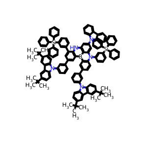 CC(C)(C)c1ccc2c(c1)c1cc(C(C)(C)C)ccc1n2-c1cccc(-c2ccc3c(c2)B2c4cc(-c5cccc(-n6c7ccc(C(C)(C)C)cc7c7cc(C(C)(C)C)ccc76)c5)cc(-c5cccc([Si](c6ccccc6)(c6ccccc6)c6ccccc6)c5)c4Nc4cc(-n5c6ccccc6c6ccccc65)cc(c42)N3c2cccc([Si](c3ccccc3)(c3ccccc3)c3ccccc3)c2)c1